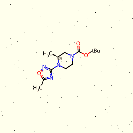 Cc1nc(N2CCN(C(=O)OC(C)(C)C)C[C@@H]2C)no1